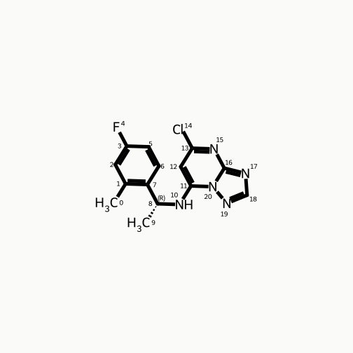 Cc1cc(F)ccc1[C@@H](C)Nc1cc(Cl)nc2ncnn12